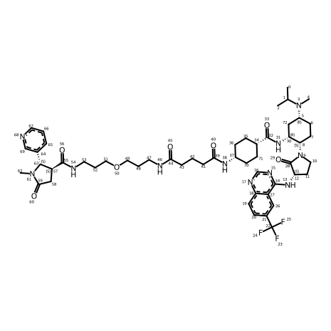 CC(C)N(C)[C@@H]1CC[C@H](N2CC[C@H](Nc3ncnc4ccc(C(F)(F)F)cc34)C2=O)[C@H](NC(=O)[C@H]2CC[C@@H](NC(=O)CCCC(=O)NCCCOCCCNC(=O)[C@H]3CC(=O)N(C)[C@@H]3c3cccnc3)CC2)C1